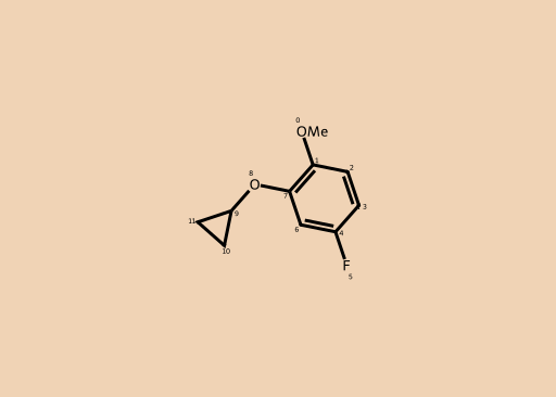 COc1c[c]c(F)cc1OC1CC1